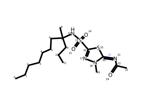 CCCCCCCC(C)(CCC)NS(=O)(=O)c1nn(C)/c(=N\C(C)=O)s1